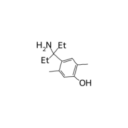 CCC(N)(CC)c1cc(C)c(O)cc1C